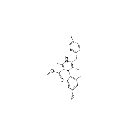 COC(=O)C1=C(C)NC(Cc2ccc(I)cc2)=C(C)C1c1ccc(F)cc1C